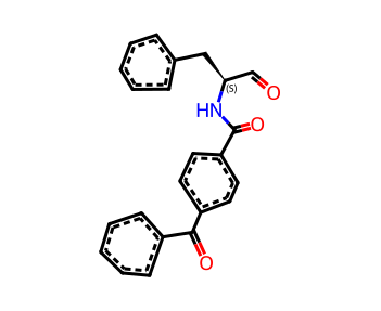 O=C[C@H](Cc1ccccc1)NC(=O)c1ccc(C(=O)c2ccccc2)cc1